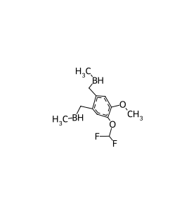 CBCc1cc(OC)c(OC(F)F)cc1CBC